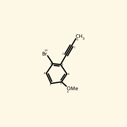 CC#Cc1cc(OC)ccc1Br